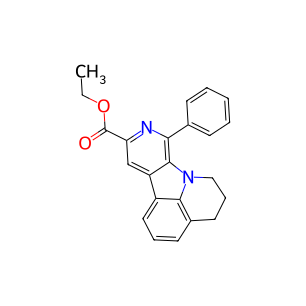 CCOC(=O)c1cc2c3cccc4c3n(c2c(-c2ccccc2)n1)CCC4